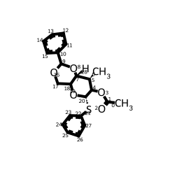 CC(=O)OC1[C@@H](C)[C@H]2OC(c3ccccc3)OCC2O[C@H]1Sc1ccccc1